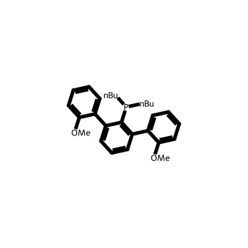 CCCCP(CCCC)c1c(-c2ccccc2OC)cccc1-c1ccccc1OC